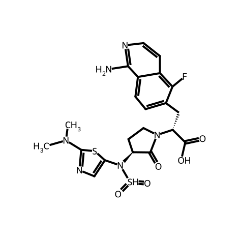 CN(C)c1ncc(N([C@H]2CCN([C@H](Cc3ccc4c(N)nccc4c3F)C(=O)O)C2=O)[SH](=O)=O)s1